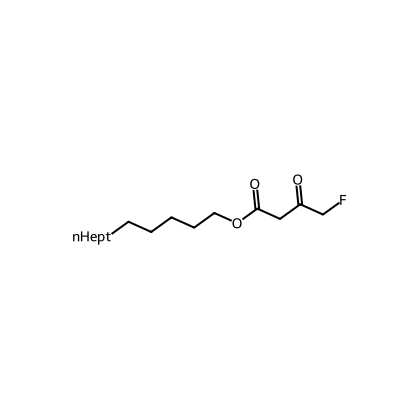 CCCCCCCCCCCCOC(=O)CC(=O)CF